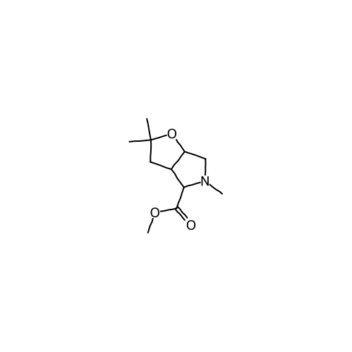 COC(=O)C1C2CC(C)(C)OC2CN1C